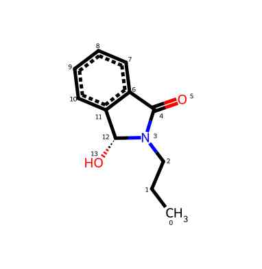 CCCN1C(=O)c2ccccc2[C@H]1O